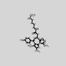 Cc1sc2c(c1C)C(c1ccc(Cl)cc1)=NC(CC(=O)NCCCCNC(=O)O)c1nnc(C)n1-2